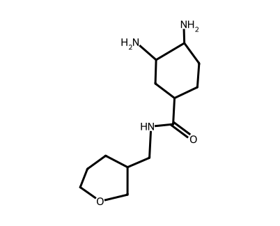 NC1CCC(C(=O)NCC2CCCOC2)CC1N